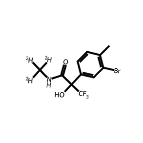 [2H]C([2H])([2H])NC(=O)C(O)(c1ccc(C)c(Br)c1)C(F)(F)F